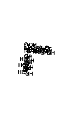 O=C(O)C(F)(F)C(F)(F)F.O=P(O)(O)F.O=P(O)(O)F.O=P(O)(O)F.O=P(O)(O)F.O=P(O)(O)F.O=P(O)(O)F